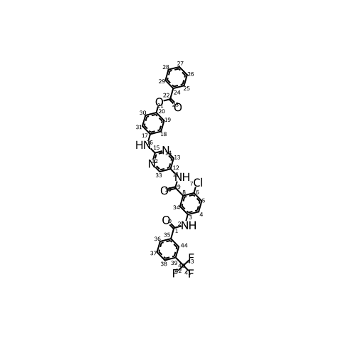 O=C(Nc1ccc(Cl)c(C(=O)Nc2cnc(Nc3ccc(OC(=O)c4ccccc4)cc3)nc2)c1)c1cccc(C(F)(F)F)c1